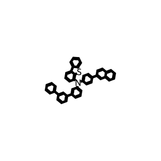 c1ccc(-c2cccc(-c3cccc(N(c4ccc(-c5ccc6ccccc6c5)cc4)c4cccc5c4sc4ccccc45)c3)c2)cc1